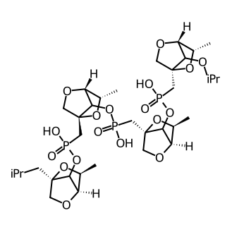 CC(C)C[C@@]12CO[C@@H](C1OP(=O)(O)C[C@@]13CO[C@@H](C1OP(=O)(O)C[C@@]14CO[C@@H](C1OP(=O)(O)C[C@]15CO[C@@H](C1OC(C)C)[C@H](C)O5)[C@H](C)O4)[C@H](C)O3)[C@H](C)O2